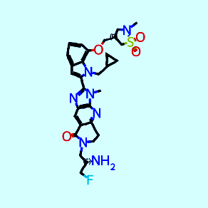 CN1C[C@H](COc2cccc3cc(-c4nc5cc6c(nc5n4C)CCN(C[C@H](N)CF)C6=O)n(CC4CC4)c23)CS1(=O)=O